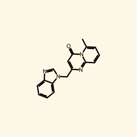 Cc1cccc2nc(Cn3cnc4ccccc43)cc(=O)n12